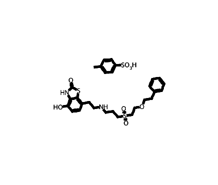 Cc1ccc(S(=O)(=O)O)cc1.O=c1[nH]c2c(O)ccc(CCNCCCS(=O)(=O)CCOCCc3ccccc3)c2s1